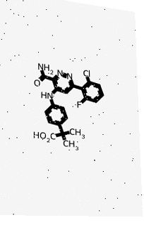 CC(C)(C(=O)O)c1ccc(Nc2cc(-c3c(F)cccc3Cl)nnc2C(N)=O)cc1